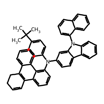 CC(C)(C)c1ccc(N(c2ccc3c4ccccc4n(-c4cccc5ccccc45)c3c2)c2cccc3c4c(c5ccccc5c23)CCC=C4)cc1